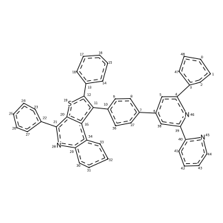 c1ccc(-c2cc(-c3ccc(-c4c(-c5ccccc5)sc5c(-c6ccccc6)nc6ccccc6c45)cc3)cc(-c3ccccn3)n2)cc1